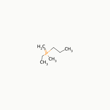 C=P(C)(CC)CCC